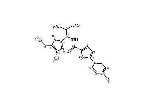 CCCCC(NC)C(NC(=O)c1ccc(-c2ccc(Cl)cc2)[nH]1)c1nc(C)c(CO)s1